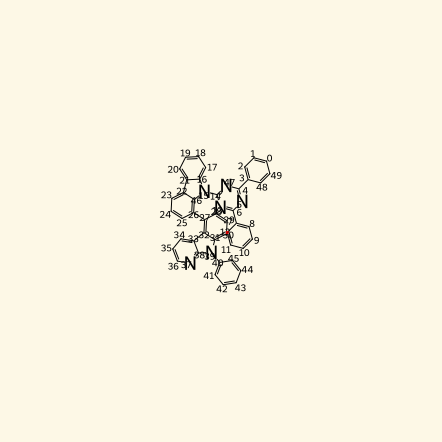 c1ccc(-c2nc(-c3ccccc3)nc(-n3c4ccccc4c4cccc(-c5cccc6c5c5cccnc5n6-c5ccccc5)c43)n2)cc1